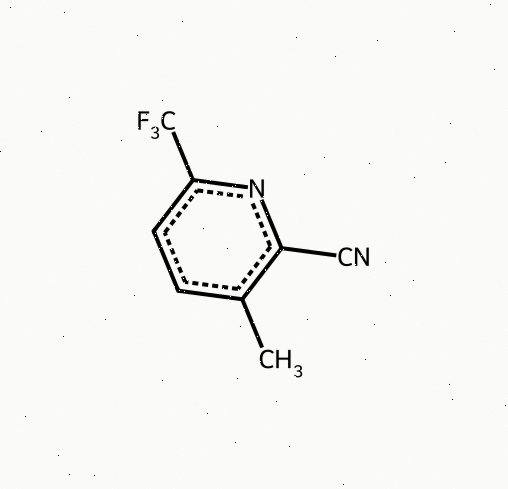 Cc1ccc(C(F)(F)F)nc1C#N